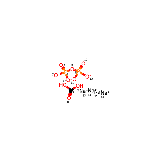 O=C(O)O.O=P([O-])([O-])OP(=O)([O-])[O-].[Na+].[Na+].[Na+].[Na+]